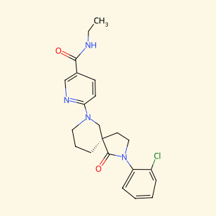 CCNC(=O)c1ccc(N2CCC[C@@]3(CCN(c4ccccc4Cl)C3=O)C2)nc1